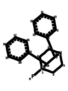 F[N+]12CCN(CC1)C(c1ccccc1)C2c1ccccc1